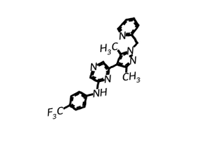 Cc1nn(Cc2ccccn2)c(C)c1-c1cncc(Nc2ccc(C(F)(F)F)cc2)n1